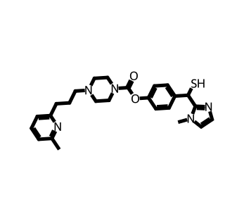 Cc1cccc(CCCN2CCN(C(=O)Oc3ccc(C(S)c4nccn4C)cc3)CC2)n1